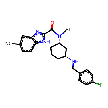 CCN(C(=O)c1nc2cc(C#N)ccc2[nH]1)[C@H]1CCC[C@@H](NCc2ccc(F)cc2)C1